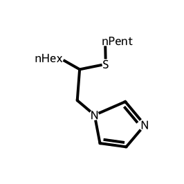 CCCCCCC(Cn1ccnc1)SCCCCC